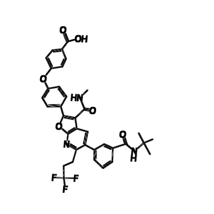 CNC(=O)c1c(-c2ccc(Oc3ccc(C(=O)O)cc3)cc2)oc2nc(CCC(F)(F)F)c(-c3cccc(C(=O)NC(C)(C)C)c3)cc12